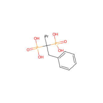 CC(C)C(Cc1ccccc1)(P(=O)(O)O)P(=O)(O)O